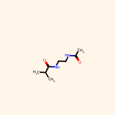 CC(=O)NCCNC(=O)C(C)C